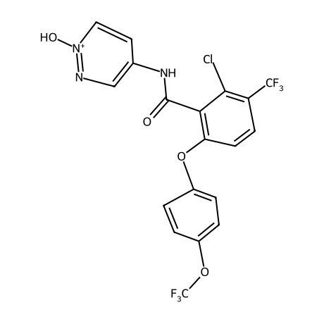 O=C(Nc1cc[n+](O)nc1)c1c(Oc2ccc(OC(F)(F)F)cc2)ccc(C(F)(F)F)c1Cl